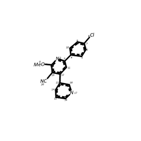 COc1nc(-c2ccc(Cl)cc2)cc(-c2cccnc2)c1C#N